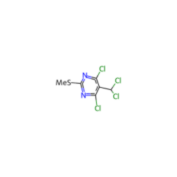 CSc1nc(Cl)c(C(Cl)Cl)c(Cl)n1